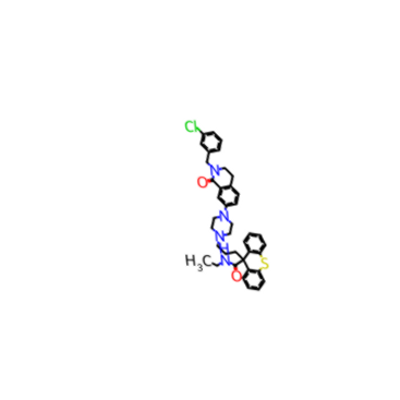 CCNC(=O)C1(CCCN2CCN(c3ccc4c(c3)C(=O)N(Cc3cccc(Cl)c3)CC4)CC2)c2ccccc2Sc2ccccc21